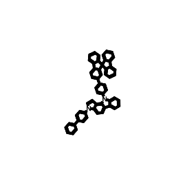 c1ccc(-c2ccc(-n3ccc4c3ccc3c5ccccc5n(-c5ccc(-c6ccc7c(c6)C6(c8ccccc8-c8ccccc86)c6ccccc6-7)cc5)c34)cc2)cc1